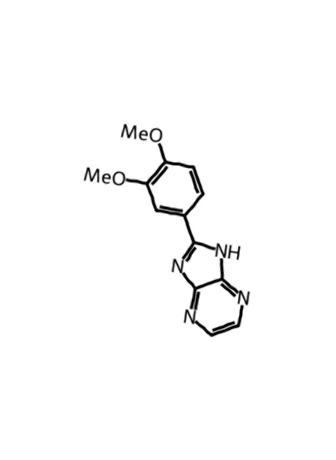 COc1ccc(-c2nc3nccnc3[nH]2)cc1OC